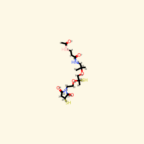 CC(=O)BCCC(=O)NCC(C)(C)OCC(C)(S)OCCN1C(=O)CC(S)C1=O